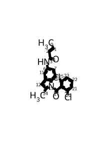 C/C=C/C(=O)Nc1ccc2c(c1)cc(C)n2C(=O)c1c(Cl)cccc1Cl